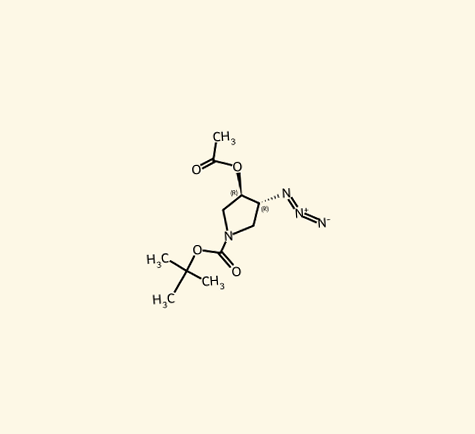 CC(=O)O[C@@H]1CN(C(=O)OC(C)(C)C)C[C@H]1N=[N+]=[N-]